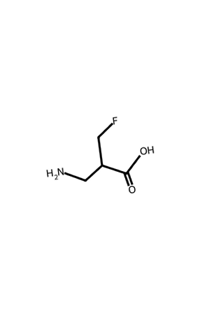 NCC(CF)C(=O)O